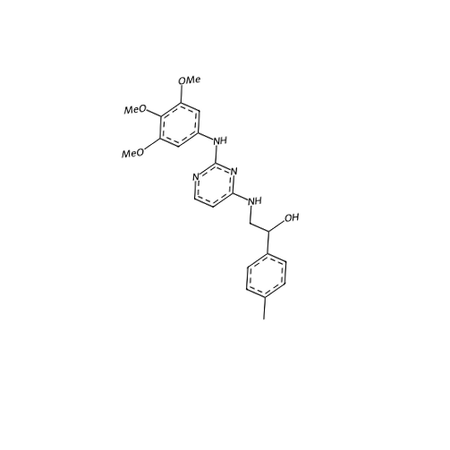 COc1cc(Nc2nccc(NCC(O)c3ccc(C)cc3)n2)cc(OC)c1OC